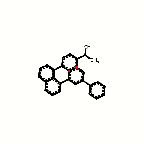 CC(C)c1ccc(-c2cccc3cccc(-c4cccc(-c5ccccc5)c4)c23)cc1